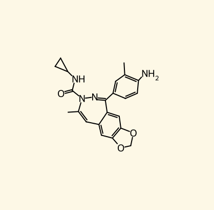 CC1=Cc2cc3c(cc2C(c2ccc(N)c(C)c2)=NN1C(=O)NC1CC1)OCO3